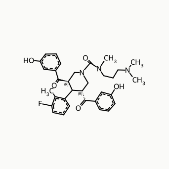 Cc1c(F)cccc1C1[C@@H](C(=O)c2cccc(O)c2)CN(C(=O)N(C)CCCN(C)C)C[C@@H]1C(=O)c1cccc(O)c1